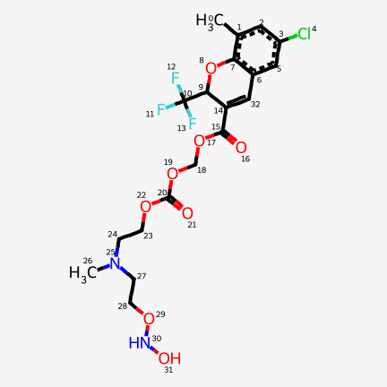 Cc1cc(Cl)cc2c1OC(C(F)(F)F)C(C(=O)OCOC(=O)OCCN(C)CCONO)=C2